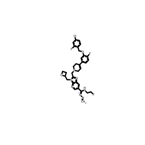 C=N/N=C(\NCCF)c1cnc2c(c1)nc(CN1CC=C(c3ccc(F)c(OCc4ccc(Cl)cc4F)c3)CC1)n2CC1CCO1